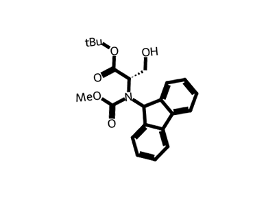 COC(=O)N(C1c2ccccc2-c2ccccc21)[C@@H](CO)C(=O)OC(C)(C)C